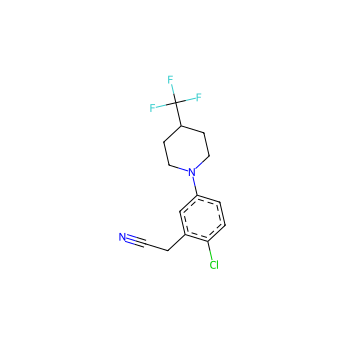 N#CCc1cc(N2CCC(C(F)(F)F)CC2)ccc1Cl